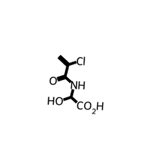 C=C(Cl)C(=O)NC(O)C(=O)O